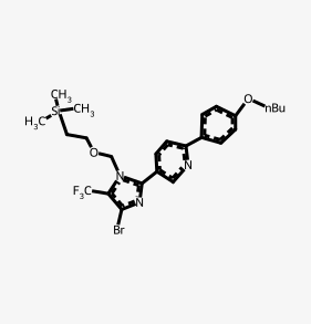 CCCCOc1ccc(-c2ccc(-c3nc(Br)c(C(F)(F)F)n3COCC[Si](C)(C)C)cn2)cc1